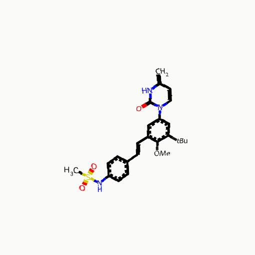 C=C1C=CN(c2cc(/C=C/c3ccc(NS(C)(=O)=O)cc3)c(OC)c(C(C)(C)C)c2)C(=O)N1